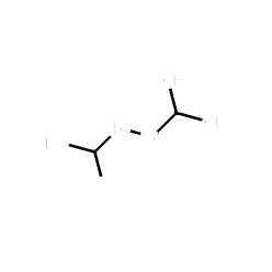 CC(C)[Te][Te]C(C)C